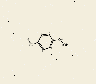 COc1ccc(OO)cc1